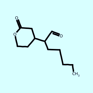 CCCCCC(C=O)C1CCOC(=O)C1